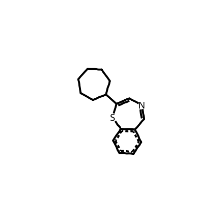 C1=NC=C(C2CCCCCC2)Sc2ccccc21